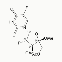 CO[C@]1(COC(C)=O)O[C@@H](n2cc(F)c(=O)[nH]c2=O)[C@@H](F)[C@@H]1OC(C)=O